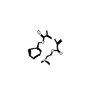 C=C(C)C(=O)OCCN(C)C.C=C(C)C(=O)OCc1ccccc1